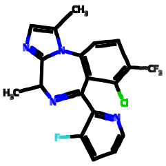 Cc1cnc2n1-c1ccc(C(F)(F)F)c(Cl)c1C(c1ncccc1F)=NC2C